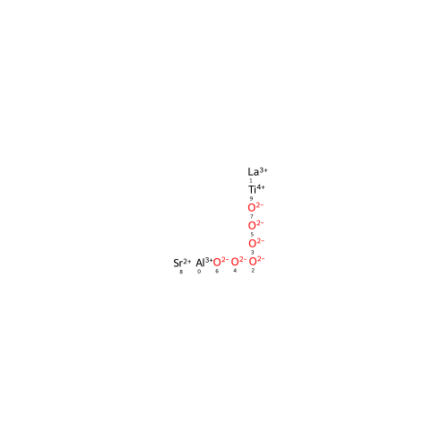 [Al+3].[La+3].[O-2].[O-2].[O-2].[O-2].[O-2].[O-2].[Sr+2].[Ti+4]